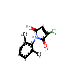 CCc1cccc(CC)c1N1C(=O)C=C(Cl)C1=O